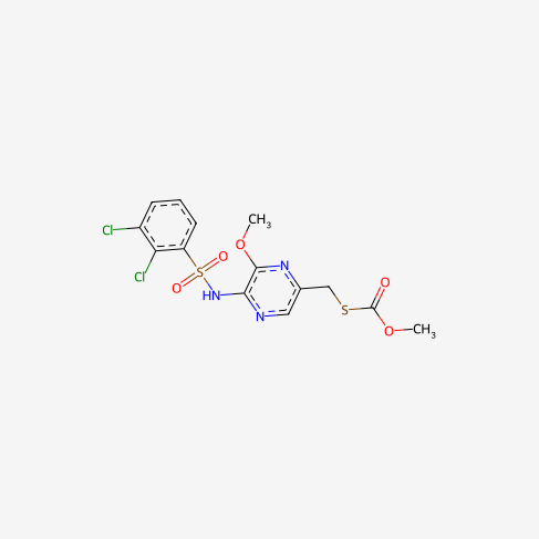 COC(=O)SCc1cnc(NS(=O)(=O)c2cccc(Cl)c2Cl)c(OC)n1